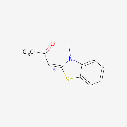 CN1/C(=C\C(=O)C(Cl)(Cl)Cl)Sc2ccccc21